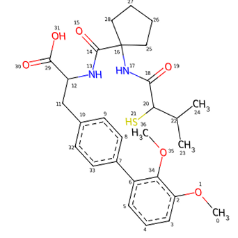 COc1cccc(-c2ccc(CC(NC(=O)C3(NC(=O)C(S)C(C)C)CCCC3)C(=O)O)cc2)c1OC